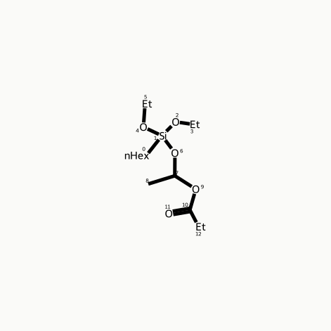 CCCCCC[Si](OCC)(OCC)OC(C)OC(=O)CC